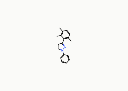 Cc1ccc(C)c(C2=NN(c3ccccc3)CC2)c1C